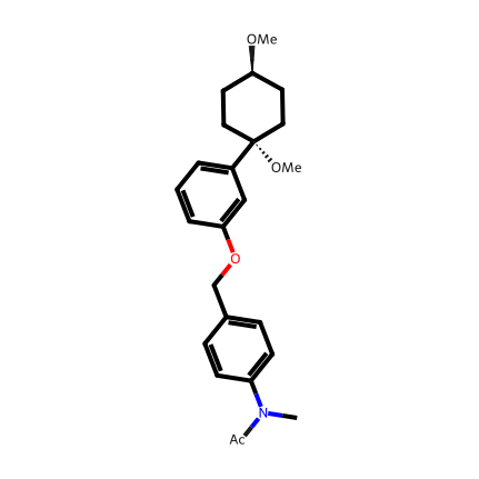 CO[C@H]1CC[C@@](OC)(c2cccc(OCc3ccc(N(C)C(C)=O)cc3)c2)CC1